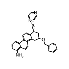 Nc1cccc2c1ccc1c3c(ccc12)C(=C=O)CC(OCc1ccccc1)C3.c1cnccn1